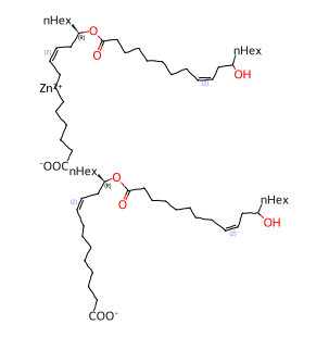 CCCCCCC(O)C/C=C\CCCCCCCC(=O)O[C@@H](C/C=C\CCCCCCCC(=O)[O-])CCCCCC.CCCCCCC(O)C/C=C\CCCCCCCC(=O)O[C@@H](C/C=C\CCCCCCCC(=O)[O-])CCCCCC.[Zn+2]